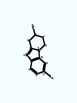 FC1CCn2c(nc3ccc(I)cc32)C1